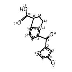 O=C(c1cc(Cl)cs1)c1ccc2n1CCC2C(=O)O